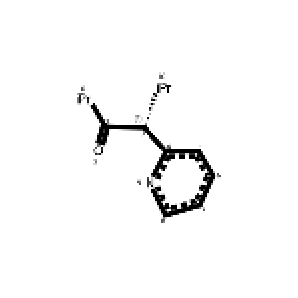 CC(C)C(=O)[C@@H](c1ccccn1)C(C)C